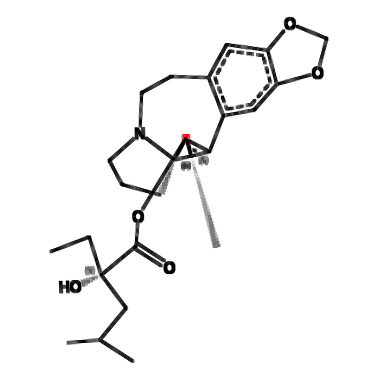 CC[C@](O)(CC(C)C)C(=O)OC1[C@@H](C)C=C2c3cc4c(cc3CCN3CCC[C@@]213)OCO4